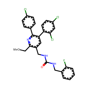 COCc1nc(-c2ccc(Cl)cc2)c(-c2ccc(Cl)cc2Cl)cc1CNC(=O)NCc1ccccc1F